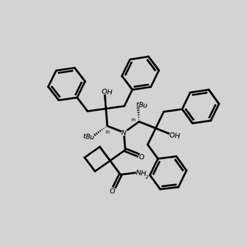 CC(C)(C)[C@@H](N(C(=O)C1(C(N)=O)CCC1)[C@H](C(C)(C)C)C(O)(Cc1ccccc1)Cc1ccccc1)C(O)(Cc1ccccc1)Cc1ccccc1